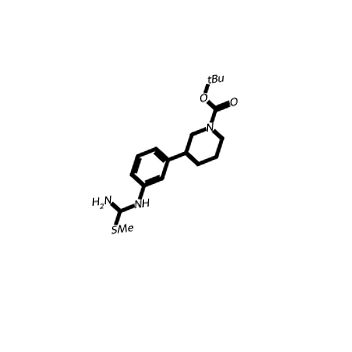 CSC(N)Nc1cccc(C2CCCN(C(=O)OC(C)(C)C)C2)c1